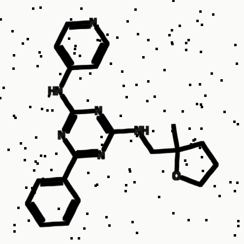 CC1(CNc2nc(Nc3ccncc3)nc(-c3ccccc3)n2)CCCO1